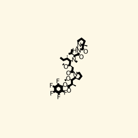 CC[C@H](C)[C@@H]([C@@H](CC(=O)N1CCC[C@H]1[C@H](OC)[C@@H](C)C(=O)Oc1c(F)c(F)c(F)c(F)c1F)OC)N(C)[C@H](C(=O)NC(=O)[C@@]1(C)CCCN1C)C(C)C